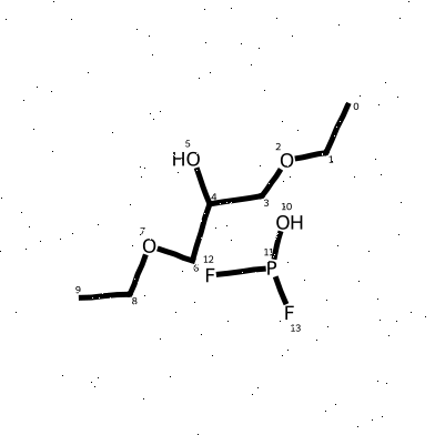 CCOCC(O)COCC.OP(F)F